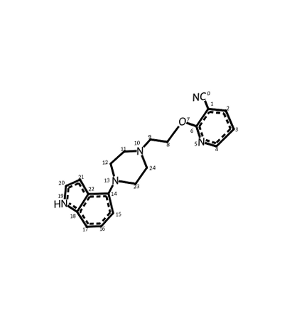 N#Cc1cccnc1OCCN1CCN(c2cccc3[nH]ccc23)CC1